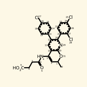 CC1C=C(NC(=O)CCC(=O)O)c2cc(-c3ccc(Cl)cc3)c(-c3ccc(Cl)cc3Cl)nc2O1